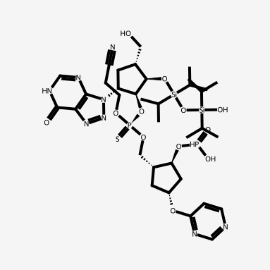 CC(C)[Si](O)(O[Si](O[C@@H]1[C@@H](CO)C[C@@H](n2nnc3c(=O)[nH]cnc32)[C@@H]1O[P@@](=S)(OCCC#N)OC[C@H]1C[C@@H](Oc2ccncn2)C[C@@H]1O[PH](=O)O)(C(C)C)C(C)C)C(C)C